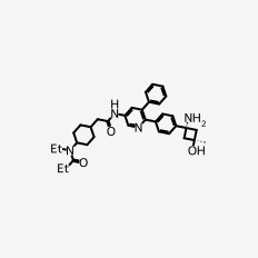 CCC(=O)N(CC)C1CCC(CC(=O)Nc2cnc(-c3ccc([C@]4(N)C[C@](C)(O)C4)cc3)c(-c3ccccc3)c2)CC1